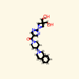 O=C(c1cnc(N2CC(CO)(CO)C2)nc1)N1CCC(N2C=Cc3ccccc3C2)CC1